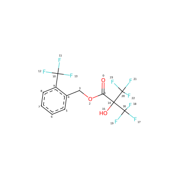 O=C(OCc1ccccc1C(F)(F)F)C(O)(C(F)(F)F)C(F)(F)F